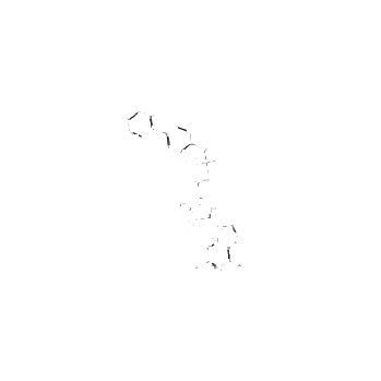 CCOC(=O)C(Cc1ccc(-c2ccccc2)cc1)(OC[C@H]1O[C@@H](n2cnc3c(N)nc(Cl)nc32)[C@@H](F)[C@@H]1O)C(C)=O